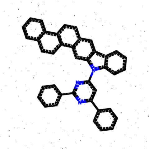 c1ccc(-c2cc(-n3c4ccccc4c4cc5ccc6c7ccccc7ccc6c5cc43)nc(-c3ccccc3)n2)cc1